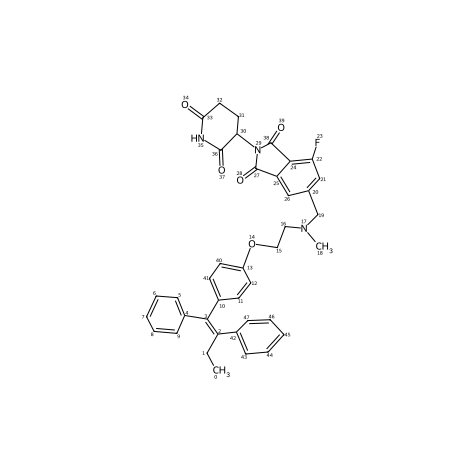 CCC(=C(c1ccccc1)c1ccc(OCCN(C)Cc2cc(F)c3c(c2)C(=O)N(C2CCC(=O)NC2=O)C3=O)cc1)c1ccccc1